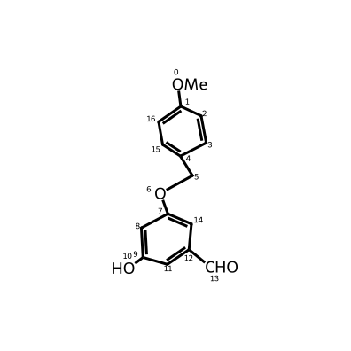 COc1ccc(COc2cc(O)cc(C=O)c2)cc1